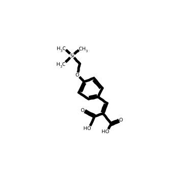 C[Si](C)(C)COc1ccc(C=C(C(=O)O)C(=O)O)cc1